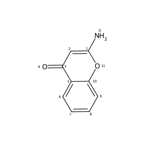 Nc1cc(=O)c2ccccc2o1